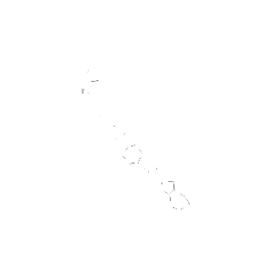 C=CC(=O)NC1CC2CN(S(=O)(=O)c3ccc(NC(=O)c4oc5ccccc5c4C)cc3)CC2O1